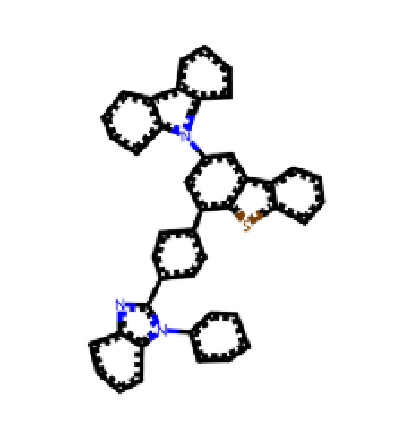 c1ccc(-n2c(-c3ccc(-c4cc(-n5c6ccccc6c6ccccc65)cc5c4sc4ccccc45)cc3)nc3ccccc32)cc1